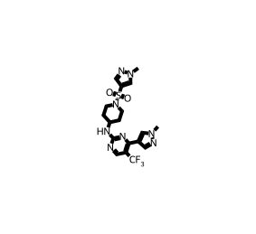 Cn1cc(-c2nc(NC3CCN(S(=O)(=O)c4cnn(C)c4)CC3)ncc2C(F)(F)F)cn1